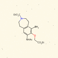 Bc1c2c(cc(NC(C)=O)c1OCC(=O)OCC)CCN(C(=O)OCC)CC2